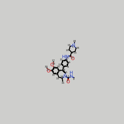 CNC(=O)N1C=C(c2ccc(NC(=O)C3CCN(C)CC3)cc2)c2cc(OC)c(OC)cc2CC1C